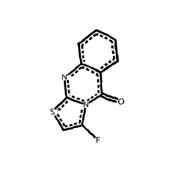 O=c1c2ccccc2nc2scc(F)n12